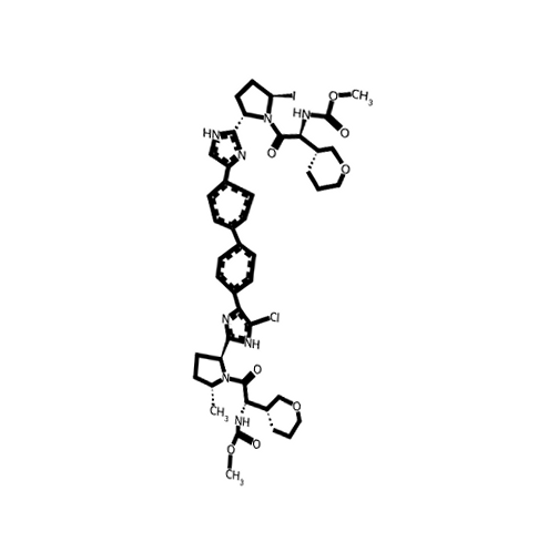 COC(=O)N[C@H](C(=O)N1[C@H](C)CC[C@H]1c1nc(-c2ccc(-c3ccc(-c4c[nH]c([C@@H]5CC[C@@H](I)N5C(=O)[C@@H](NC(=O)OC)[C@H]5CCCOC5)n4)cc3)cc2)c(Cl)[nH]1)[C@H]1CCCOC1